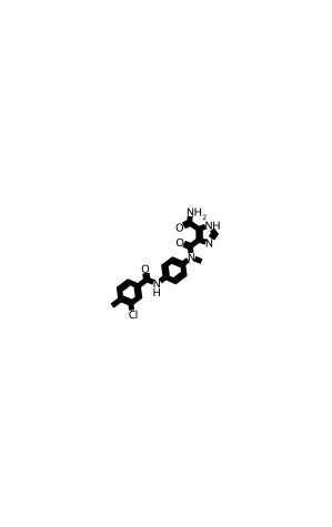 Cc1ccc(C(=O)Nc2ccc(N(C)C(=O)c3nc[nH]c3C(N)=O)cc2)cc1Cl